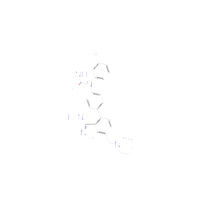 NC(=O)N(c1ccc(-c2ccc(CN3CCOCC3)c3onc(N)c23)cc1)c1cccc(Br)c1